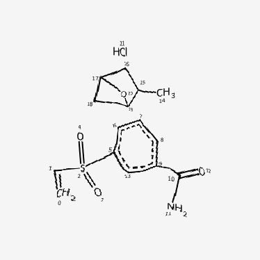 C=CS(=O)(=O)c1cccc(C(N)=O)c1.CC1CC2CC1O2.Cl